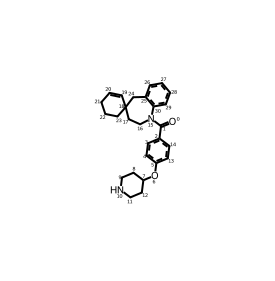 O=C(c1ccc(OC2CCNCC2)cc1)N1CCC2(C=CCCC2)Cc2ccccc21